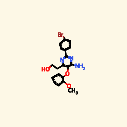 COc1ccccc1Oc1c(N)nc(-c2ccc(Br)cc2)nc1CCO